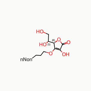 CCCCCCCCCCCCOC1=C(O)C(=O)O[C@@H]1[C@@H](O)CO